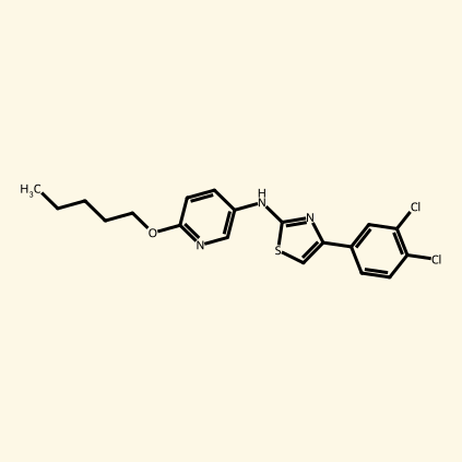 CCCCCOc1ccc(Nc2nc(-c3ccc(Cl)c(Cl)c3)cs2)cn1